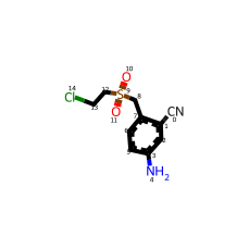 N#Cc1cc(N)ccc1CS(=O)(=O)CCCl